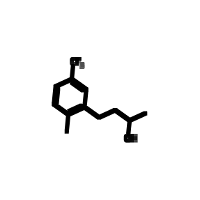 Cc1ccc(C(F)(F)F)cc1CCC(C)O